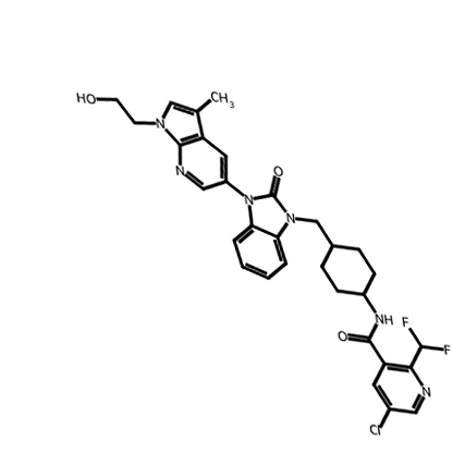 Cc1cn(CCO)c2ncc(-n3c(=O)n(CC4CCC(NC(=O)c5cc(Cl)cnc5C(F)F)CC4)c4ccccc43)cc12